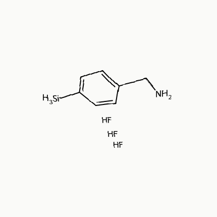 F.F.F.NCc1ccc([SiH3])cc1